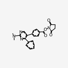 CN(C)c1ncc(-c2ccc(C(=O)ON3C(=O)CCC3=O)cc2)c(-c2ccccc2)n1